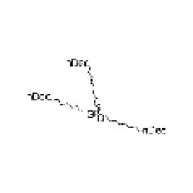 CCCCCCCCCCCCCCCCCCOP(OCCCCCCCCCCCCCCCCCC)SCCCCCCCCCCCCCCCCCC